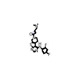 CN(C)C/C=C/C(=O)N1CCc2c(sc3ncnc(Nc4ccc(F)cc4F)c23)C1